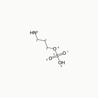 [NH]CCCOS(=O)(=O)O